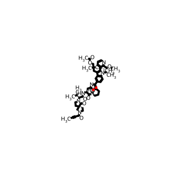 CC#CC(=O)N1CC[C@@]2(CCN([C@H](C(=O)N[C@@H](Cc3nc(-c4ccc5c(c4)c(CC(C)(C)COC(C)=O)c(-c4cccnc4[C@H](C)OC)n5CC)cs3)C(=O)N3CCCCN3)C(C)C)C2=O)C1